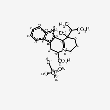 CC[C@@]1(C(C)C(=O)O)CCC[N+]2=C1c1[nH]c3ccccc3c1CC2C(=O)O.[O-][Cl+3]([O-])([O-])[O-]